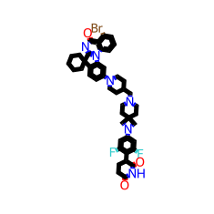 O=C1CCC(c2c(F)cc(N3CC4(CCN(CC5CCN(c6ccc7c(c6)-n6c(nc(=O)c8c(Br)cccc86)C76CCCCC6)CC5)CC4)C3)cc2F)C(=O)N1